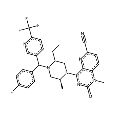 CCC1CN(c2nc(=O)n(C)c3ccc(C#N)nc23)[C@@H](C)CN1C(c1ccc(F)cc1)c1ccc(C(F)(F)F)nc1